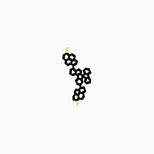 Fc1ccc2ccc3c(-c4ccc5c(c4)C4(c6ccccc6-c6ccccc64)c4ccc6c(-c7ccc8ccc9c(F)ccc%10ccc7c8c%109)cccc6c4-5)ccc4ccc1c2c43